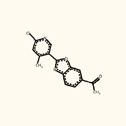 CC(=O)c1ccc2nc(-c3cnc(Cl)cc3C)oc2c1